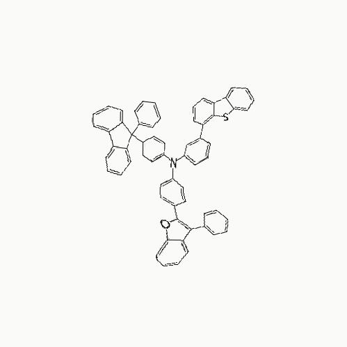 c1ccc(-c2c(-c3ccc(N(c4ccc(C5(c6ccccc6)c6ccccc6-c6ccccc65)cc4)c4cccc(-c5cccc6c5sc5ccccc56)c4)cc3)oc3ccccc23)cc1